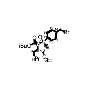 CCOC[C@H](CC(C)C)N(C(=O)OCC(C)C)S(=O)(=O)c1ccc(CBr)cc1